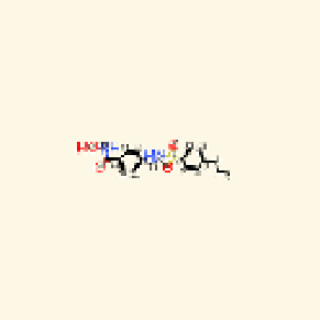 CCCc1ccc(S(=O)(=O)NCc2ccc(C(=O)NO)cc2)cc1